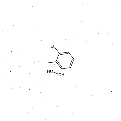 CCc1ccccc1C.OO